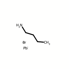 CCCCN.[Br].[Pb]